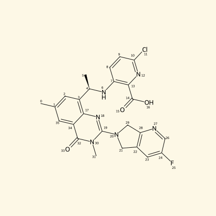 Cc1cc([C@@H](C)Nc2ccc(Cl)nc2C(=O)O)c2nc(N3Cc4cc(F)cnc4C3)n(C)c(=O)c2c1